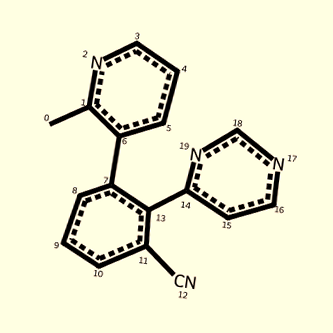 Cc1ncccc1-c1cccc(C#N)c1-c1ccncn1